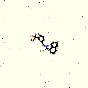 C[C@@H](NCc1cccc(C(C)(C)O)n1)c1cccc2ccccc12